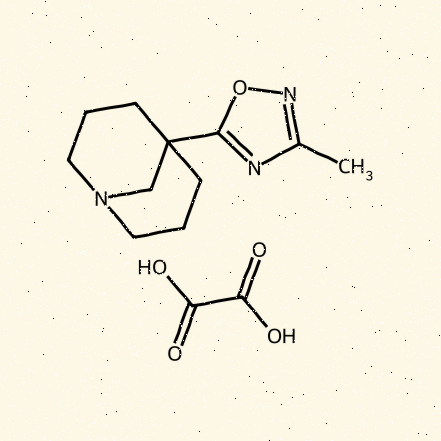 Cc1noc(C23CCCN(CCC2)C3)n1.O=C(O)C(=O)O